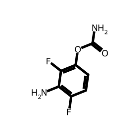 NC(=O)Oc1ccc(F)c(N)c1F